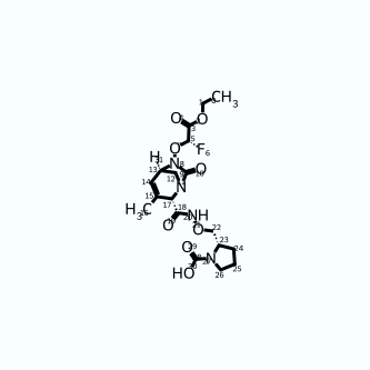 CCOC(=O)[C@H](F)ON1C(=O)N2C[C@H]1C=C(C)[C@H]2C(=O)NOC[C@@H]1CCCN1C(=O)O